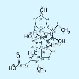 CC[C@@H]1C2C[C@H](O)CC[C@]2(C)[C@@H]2[C@@H]([C@@H]1O)[C@@H]1CC[C@H](C(C)CCC(=O)O)[C@@]1(C)C[C@@H]2O